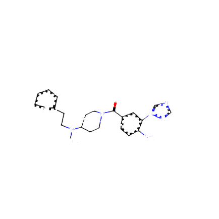 CN(CCc1ccccc1)C1CCN(C(=O)c2ccc(N)c(-n3cncn3)c2)CC1